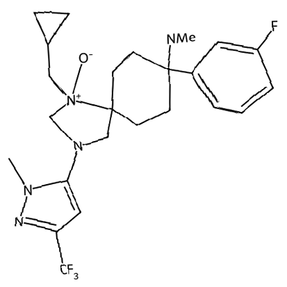 CNC1(c2cccc(F)c2)CCC2(CC1)CN(c1cc(C(F)(F)F)nn1C)C[N+]2([O-])CC1CC1